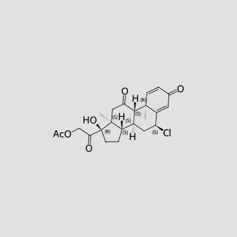 CC(=O)OCC(=O)[C@@]1(O)CC[C@H]2[C@@H]3C[C@H](Cl)C4=CC(=O)C=C[C@]4(C)[C@H]3C(=O)C[C@@]21C